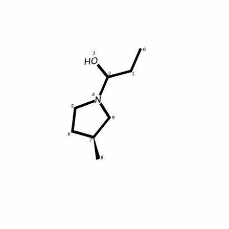 CCC(O)N1CC[C@H](C)C1